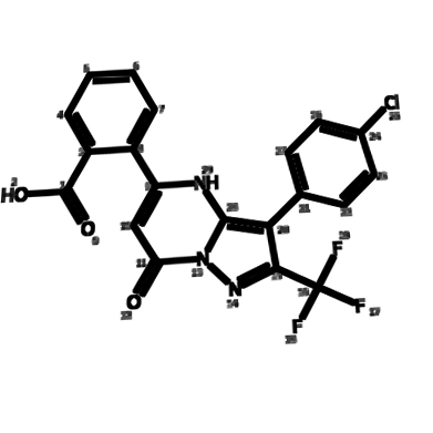 O=C(O)c1ccccc1-c1cc(=O)n2nc(C(F)(F)F)c(-c3ccc(Cl)cc3)c2[nH]1